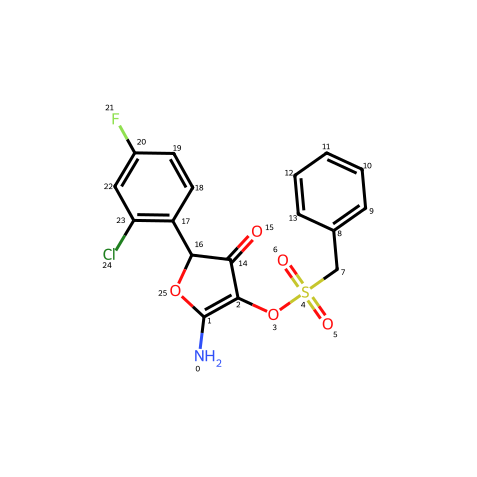 NC1=C(OS(=O)(=O)Cc2ccccc2)C(=O)C(c2ccc(F)cc2Cl)O1